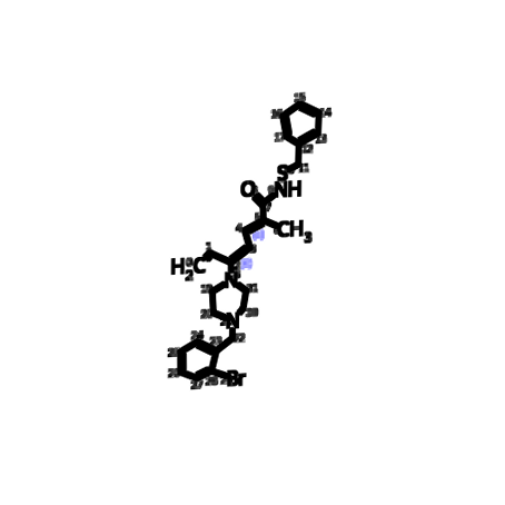 C=C/C(=C\C=C(/C)C(=O)NSCc1ccccc1)N1CCN(Cc2ccccc2Br)CC1